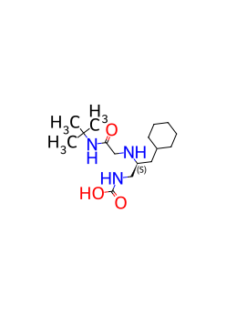 CC(C)(C)NC(=O)CN[C@H](CNC(=O)O)CC1CCCCC1